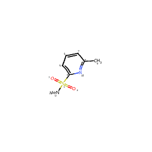 CNS(=O)(=O)c1cccc(C)n1